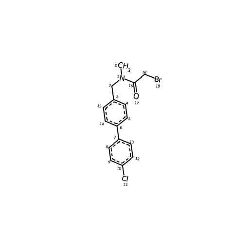 CN(Cc1ccc(-c2ccc(Cl)cc2)cc1)C(=O)CBr